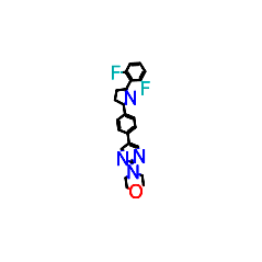 Fc1cccc(F)c1C1=NC(c2ccc(-c3cnc(N4CCOCC4)nc3)cc2)CC1